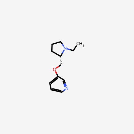 CCN1CCC[C@H]1COc1cccnc1